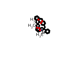 C=C(/C=C/C=C1/N(C)c2ccccc2C1(Cc1ccccc1)Cc1ccccc1)C(Cc1ccccc1)(Cc1ccccc1)c1ccccc1C